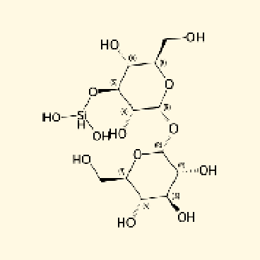 OC[C@H]1O[C@H](O[C@H]2O[C@H](CO)[C@@H](O)[C@H](O[SiH](O)O)[C@H]2O)[C@H](O)[C@@H](O)[C@@H]1O